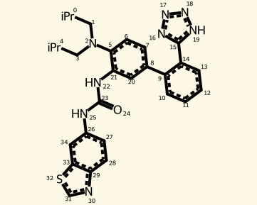 CC(C)CN(CC(C)C)c1ccc(-c2ccccc2-c2nnn[nH]2)cc1NC(=O)Nc1ccc2ncsc2c1